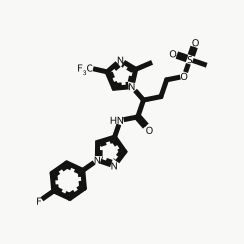 Cc1nc(C(F)(F)F)cn1C(CCOS(C)(=O)=O)C(=O)Nc1cnn(-c2ccc(F)cc2)c1